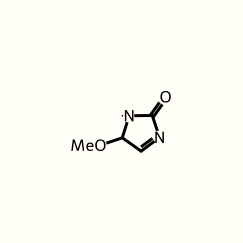 COC1C=NC(=O)[N]1